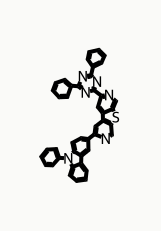 c1ccc(-c2nc(-c3ccccc3)nc(-c3cc4c(cn3)sc3cnc(-c5ccc6c(c5)c5ccccc5n6-c5ccccc5)cc34)n2)cc1